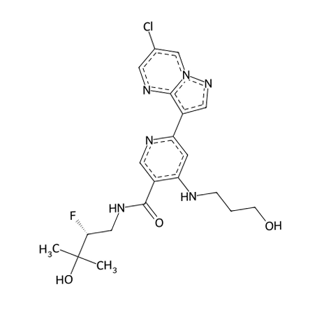 CC(C)(O)[C@H](F)CNC(=O)c1cnc(-c2cnn3cc(Cl)cnc23)cc1NCCCO